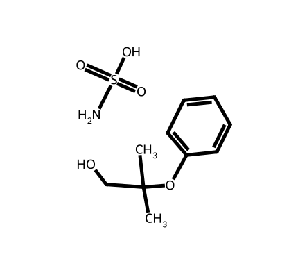 CC(C)(CO)Oc1ccccc1.NS(=O)(=O)O